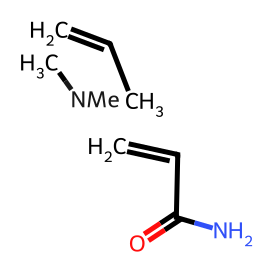 C=CC.C=CC(N)=O.CNC